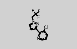 FC(F)(F)Cn1c[c]c(-c2ncccc2Cl)n1